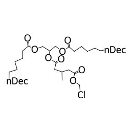 CCCCCCCCCCCCCCCC(=O)OCC(COC(=O)CCCCCCCCCCCCCCC)OC(=O)CC(C)CC(=O)OCCl